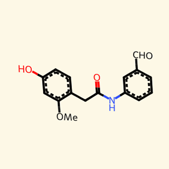 COc1cc(O)ccc1CC(=O)Nc1cccc(C=O)c1